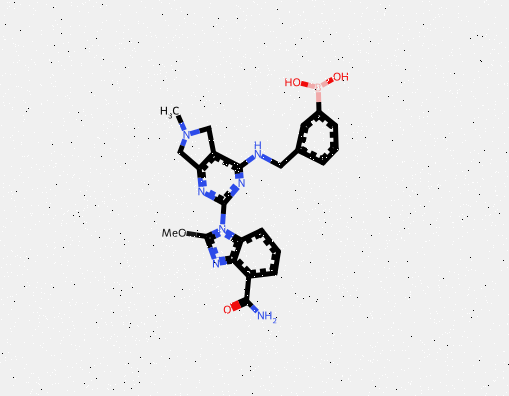 COc1nc2c(C(N)=O)cccc2n1-c1nc2c(c(NCc3cccc(B(O)O)c3)n1)CN(C)C2